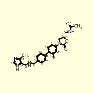 CC(=O)NC[C@H]1CN(c2ccc(-c3ccc(CNCc4[nH]cnc4C)cc3)c(F)c2)C(=O)O1